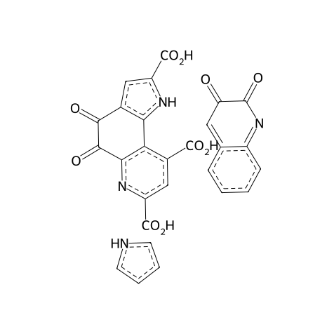 O=C(O)c1cc(C(=O)O)c2c(n1)C(=O)C(=O)c1cc(C(=O)O)[nH]c1-2.O=C1C=c2ccccc2=NC1=O.c1cc[nH]c1